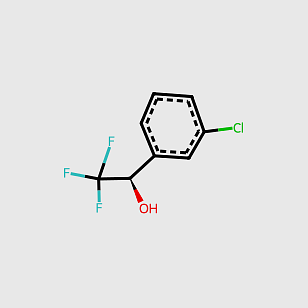 O[C@H](c1cccc(Cl)c1)C(F)(F)F